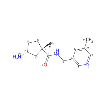 CC(C)[C@]1(C(=O)NCc2cncc(C(F)(F)F)c2)CC[C@@H](N)C1